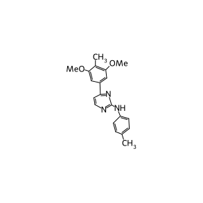 COc1cc(-c2ccnc(Nc3ccc(C)cc3)n2)cc(OC)c1C